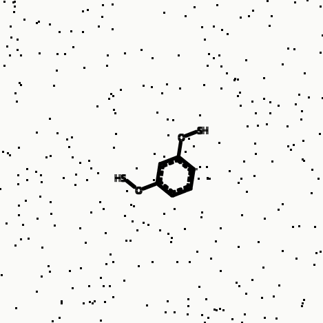 SOc1[c]ccc(OS)c1